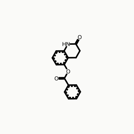 O=C1CCc2c(cccc2OC(=O)c2ccccc2)N1